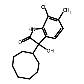 Cc1ccc2c(c1Cl)NC(=O)C2(O)C1CCCCCCC1